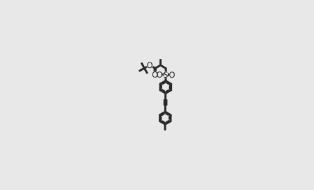 Cc1ccc(C#Cc2ccc(S(=O)(=O)CC(C)C(=O)OC(C)(C)C)cc2)cc1